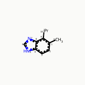 Cc1ccc2[nH]cnc2c1C(C)C